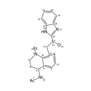 CCN1CCC(N(C)C(C)=O)c2cccc(C[S+]([O-])c3nc4ccccc4[nH]3)c21